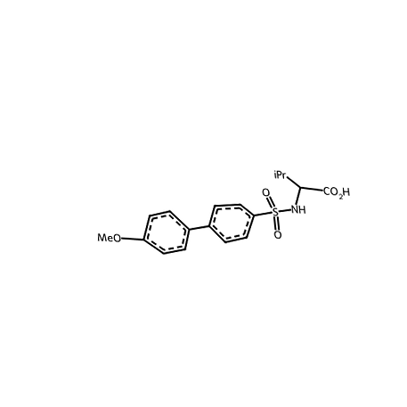 COc1ccc(-c2ccc(S(=O)(=O)NC(C(=O)O)C(C)C)cc2)cc1